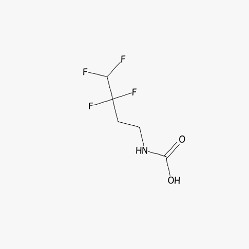 O=C(O)NCCC(F)(F)C(F)F